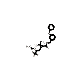 CCOC(=CC1C(C(=O)OCc2cccc(Oc3ccccc3)c2)C1(C)C)C(F)(F)F